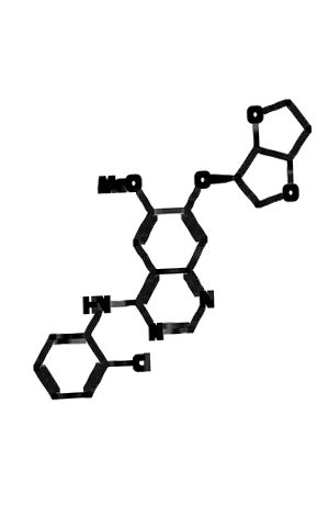 COc1cc2c(Nc3ccccc3Cl)ncnc2cc1O[C@@H]1COC2CCOC21